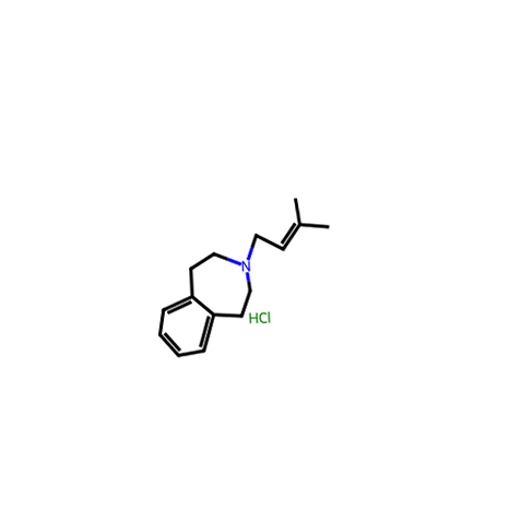 CC(C)=CCN1CCc2ccccc2CC1.Cl